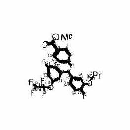 COC(=O)c1ccc(C[C@@H](c2cc(F)cc(OC(F)(F)C(F)F)c2)c2ccc(F)c(OC(C)C)c2)cc1